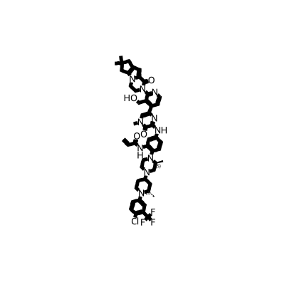 C=CC(=O)Nc1cc(Nc2nc(-c3ccnc(N4CCn5c(cc6c5CC(C)(C)C6)C4=O)c3CO)cn(C)c2=O)ccc1N1CCN(C2CCN(c3ccc(Cl)c(C(F)(F)F)c3)[C@@H](C)C2)C[C@@H]1C